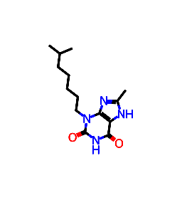 Cc1nc2c([nH]1)c(=O)[nH]c(=O)n2CCCCCC(C)C